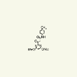 COc1cc(OC)nc(C(=O)CC(=O)Nc2ccc(C)cc2)n1